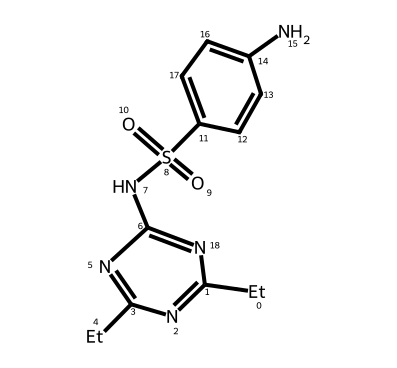 CCc1nc(CC)nc(NS(=O)(=O)c2ccc(N)cc2)n1